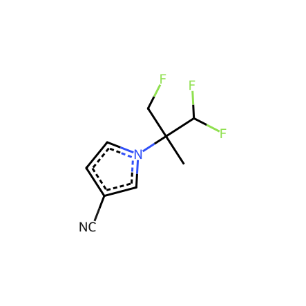 CC(CF)(C(F)F)n1ccc(C#N)c1